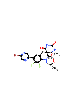 C[C@@H]1CN2c3c(cc(-c4cnc(Br)cn4)c(F)c3F)CC3(C(=O)NC(=O)NC3=O)[C@H]2[C@H](C)O1